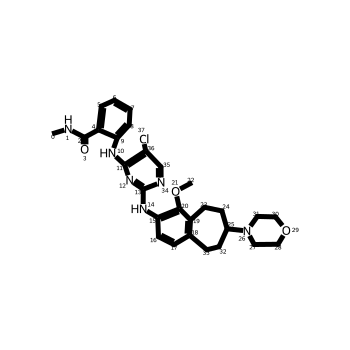 CNC(=O)c1ccccc1Nc1nc(Nc2ccc3c(c2OC)CCC(N2CCOCC2)CC3)ncc1Cl